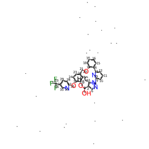 Cc1c(C(=O)O)cnn1-c1cccc(-c2ccccc2OCc2ccc(Oc3ccc(C(F)(F)F)cn3)cc2)n1